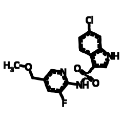 COCc1cnc(NS(=O)(=O)c2c[nH]c3cc(Cl)ccc23)c(F)c1